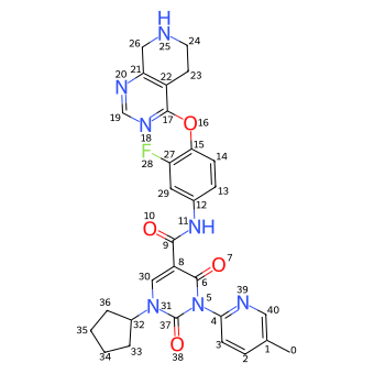 Cc1ccc(-n2c(=O)c(C(=O)Nc3ccc(Oc4ncnc5c4CCNC5)c(F)c3)cn(C3CCCC3)c2=O)nc1